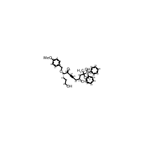 COc1ccc(CO[C@@H](CCCO)C(=O)C#CC[C@H](C)CC(C)(C)[Si](O)(c2ccccc2)c2ccccc2)cc1